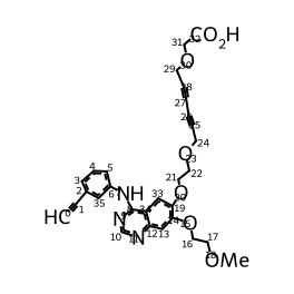 C#Cc1cccc(Nc2ncnc3cc(OCCOC)c(OCCOCC#CC#CCOCC(=O)O)cc23)c1